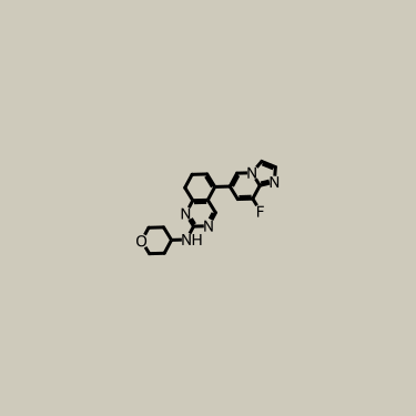 Fc1cc(C2=CCCc3nc(NC4CCOCC4)ncc32)cn2ccnc12